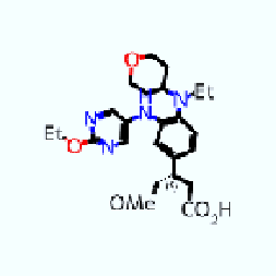 CCOc1ncc(Nc2cc([C@@H](COC)CC(=O)O)ccc2N(CC)C2CCOCC2)cn1